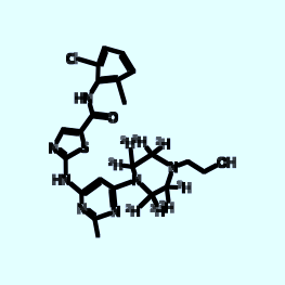 [2H]C1([2H])N(CCO)C([2H])([2H])C([2H])([2H])N(c2cc(Nc3ncc(C(=O)Nc4c(C)cccc4Cl)s3)nc(C)n2)C1([2H])[2H]